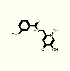 O=Cc1cccc(C(=O)NCc2cc(=O)c(O)cn2O)c1